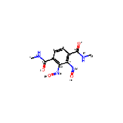 CNC(=O)c1ccc(C(=O)NC)c(N=O)c1N=O